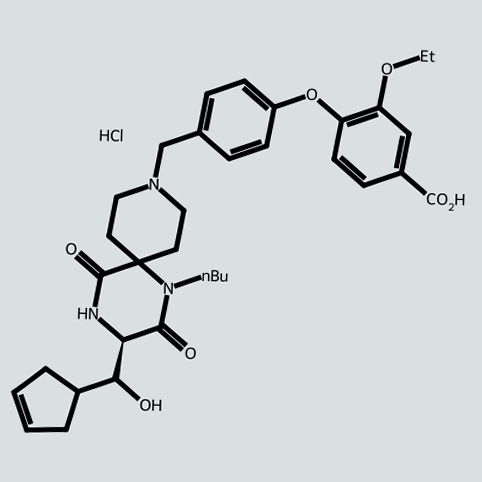 CCCCN1C(=O)[C@@H](C(O)C2CC=CC2)NC(=O)C12CCN(Cc1ccc(Oc3ccc(C(=O)O)cc3OCC)cc1)CC2.Cl